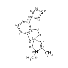 CC1=NC2(CCc3c(cccc3-c3ccsc3)C2)CN1C